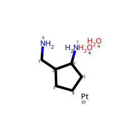 NCC1CCCC1N.O.O.[Pt]